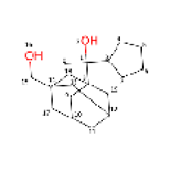 CC(O)(C1CCCC1)C12CC3CC(CC(CO)(C3)C1)C2